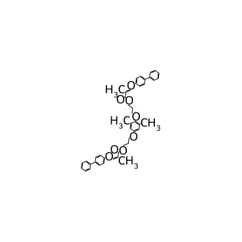 CC(=COc1ccc(-c2ccccc2)cc1)C(=O)OCCCOc1cc(C)c(OCCCOC(=O)C(C)=COc2ccc(-c3ccccc3)cc2)c(C)c1